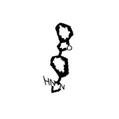 c1ccc2oc(-c3ccc(C4=NCCN4)cc3)cc2c1